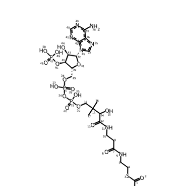 CCCCC(=O)SCCNC(=O)CCNC(=O)C(O)C(C)(C)COP(=O)(O)OP(=O)(O)OC[C@H]1O[C@@H](n2cnc3c(N)ncnc32)[C@H](O)[C@@H]1OP(=O)(O)O